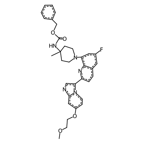 COCCOc1ccn2c(-c3ccc4cc(F)cc(N5CCC(C)(NC(=O)OCc6ccccc6)CC5)c4n3)cnc2c1